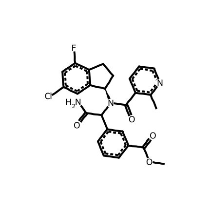 COC(=O)c1cccc(C(C(N)=O)N(C(=O)c2cccnc2C)[C@@H]2CCc3c(F)cc(Cl)cc32)c1